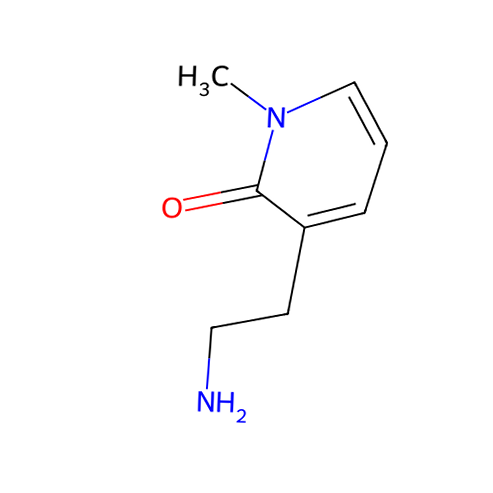 Cn1cccc(CCN)c1=O